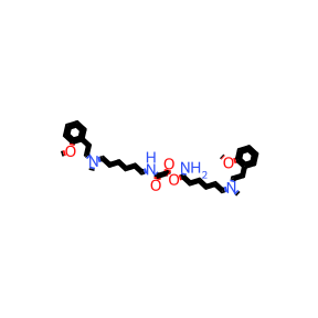 COc1ccccc1CCN(C)CCCCCCNC(=O)C(=O)OC(N)CCCCCN(C)CCc1ccccc1OC